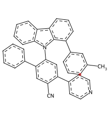 Cc1cccc(-c2cccc3c4ccccc4n(-c4cc(-c5ccncc5)c(C#N)cc4-c4ccccc4)c23)c1